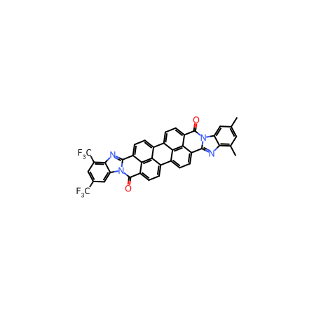 Cc1cc(C)c2nc3c4ccc5c6ccc7c(=O)n8c9cc(C(F)(F)F)cc(C(F)(F)F)c9nc8c8ccc(c9ccc(c(=O)n3c2c1)c4c59)c6c78